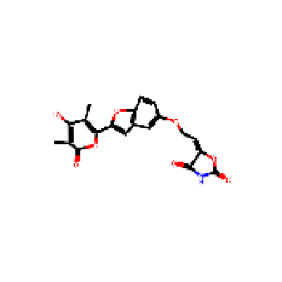 Cc1c(-c2cc3cc(OC/C=C4/OC(=O)NC4=O)ccc3o2)oc(=O)c(C)c1O